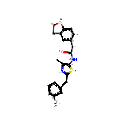 Cc1nc(Cc2cccc(C(F)(F)F)c2)sc1NC(=O)Cc1ccc2c(c1)CCO2